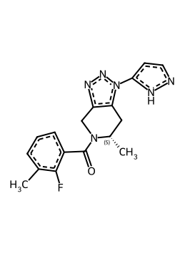 Cc1cccc(C(=O)N2Cc3nnn(-c4ccn[nH]4)c3C[C@@H]2C)c1F